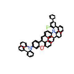 Fc1cc(-c2ccccc2)cc(-c2ccccc2)c1N(c1ccc2cc3c4c(cccc4c2c1)Oc1cc(N(c2ccccc2)c2ccccc2-c2ccccc2)ccc1-3)c1ccccc1-c1ccccc1